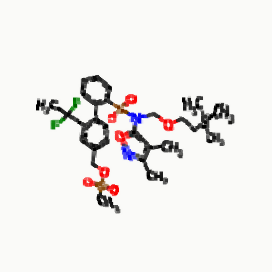 Cc1noc(N(COCC[Si](C)(C)C)S(=O)(=O)c2ccccc2-c2ccc(COS(C)(=O)=O)cc2C(C)(F)F)c1C